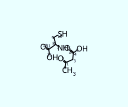 CC(=O)CC(=O)O.NC(CS)C(=O)O